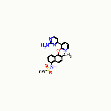 CCCS(=O)(=O)Nc1cccc2c(Oc3ncccc3-c3ccnc(N)n3)c(C)ccc12